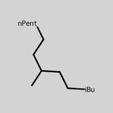 CCCCCCCC(C)CCC(C)CC